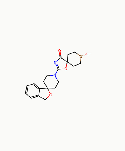 O=C1N=C(N2CCC3(CC2)OCc2ccccc23)OC12CC[S+]([O-])CC2